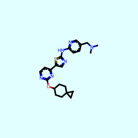 CN(C)Cc1ccc(Nc2ncc(-c3ccnc(OC4CCC5(CC4)CC5)n3)s2)nc1